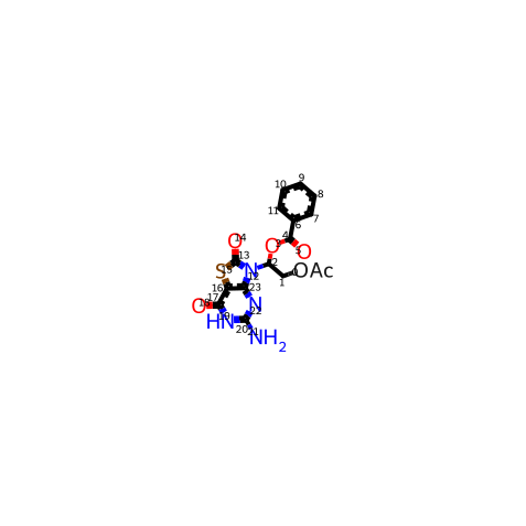 CC(=O)OCC(OC(=O)c1ccccc1)n1c(=O)sc2c(=O)[nH]c(N)nc21